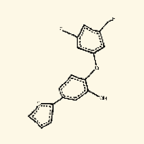 Oc1cc(-c2cccs2)ccc1Oc1cc(F)cc(F)c1